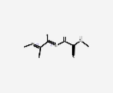 C/N=C(C)/C(C)=N/NC(=S)NC